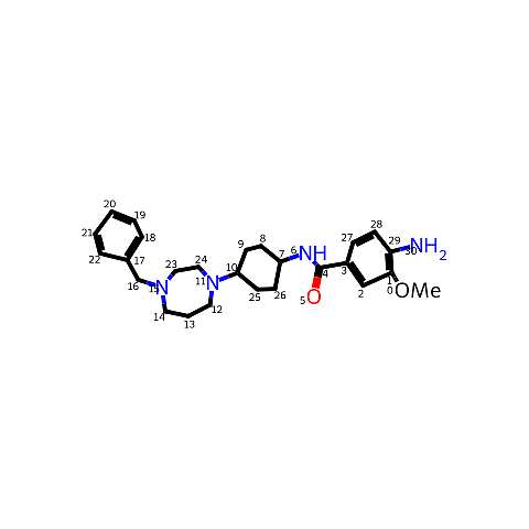 COc1cc(C(=O)NC2CCC(N3CCCN(Cc4ccccc4)CC3)CC2)ccc1N